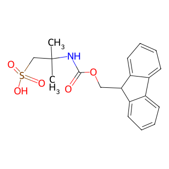 CC(C)(CS(=O)(=O)O)NC(=O)OCC1c2ccccc2-c2ccccc21